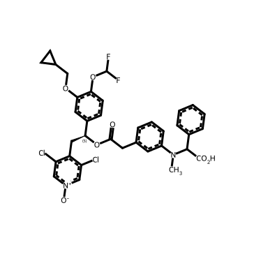 CN(c1cccc(CC(=O)O[C@@H](Cc2c(Cl)c[n+]([O-])cc2Cl)c2ccc(OC(F)F)c(OCC3CC3)c2)c1)C(C(=O)O)c1ccccc1